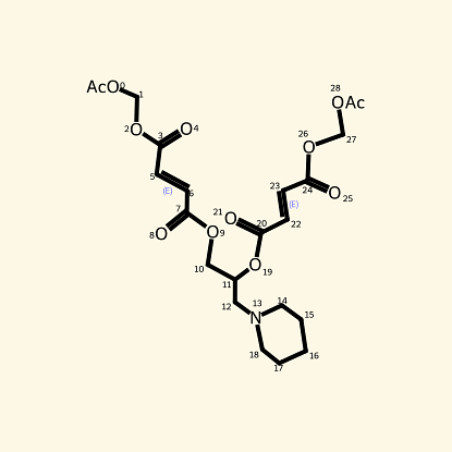 CC(=O)OCOC(=O)/C=C/C(=O)OCC(CN1CCCCC1)OC(=O)/C=C/C(=O)OCOC(C)=O